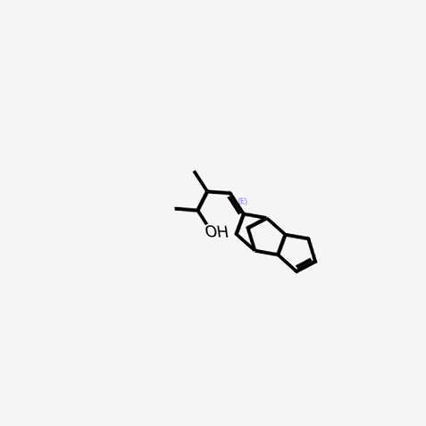 CC(O)C(C)/C=C1\CC2CC1C1CC=CC21